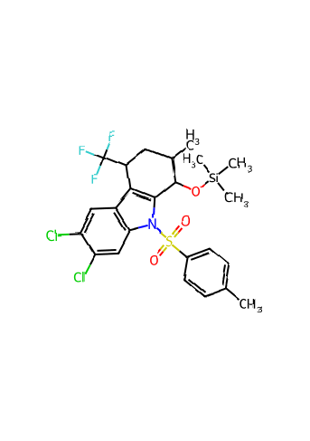 Cc1ccc(S(=O)(=O)n2c3c(c4cc(Cl)c(Cl)cc42)C(C(F)(F)F)CC(C)C3O[Si](C)(C)C)cc1